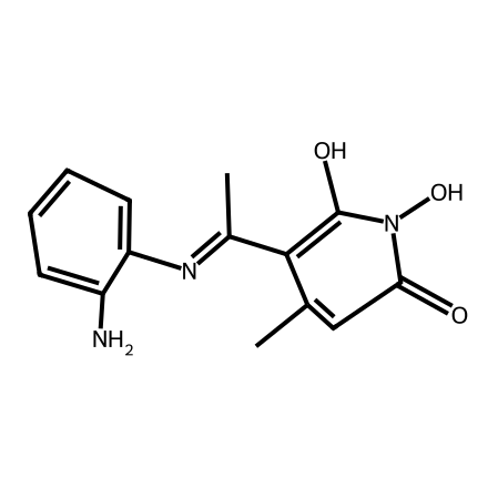 C/C(=N\c1ccccc1N)c1c(C)cc(=O)n(O)c1O